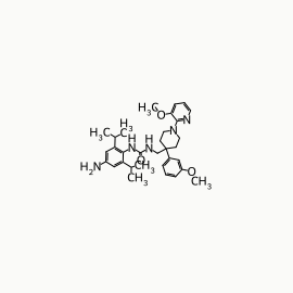 COc1cccc(C2(CNC(=O)Nc3c(C(C)C)cc(N)cc3C(C)C)CCN(c3ncccc3OC)CC2)c1